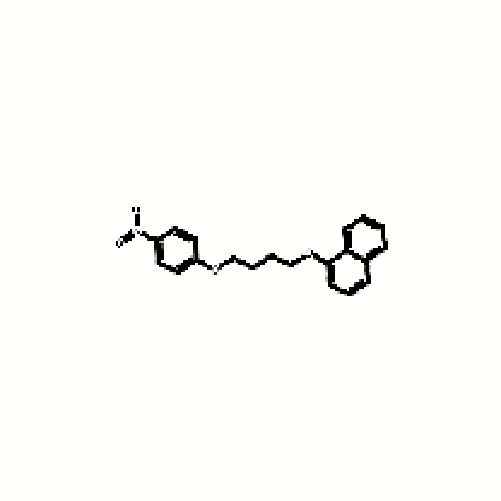 O=[N+]([O-])c1ccc(OCCCCOc2cccc3ccccc23)cc1